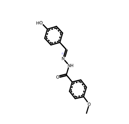 COc1ccc(C(=O)N/N=C/c2ccc(O)cc2)cc1